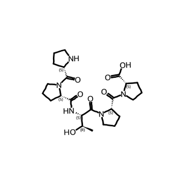 C[C@@H](O)[C@H](NC(=O)[C@@H]1CCCN1C(=O)[C@@H]1CCCN1)C(=O)N1CCC[C@H]1C(=O)N1CCC[C@H]1C(=O)O